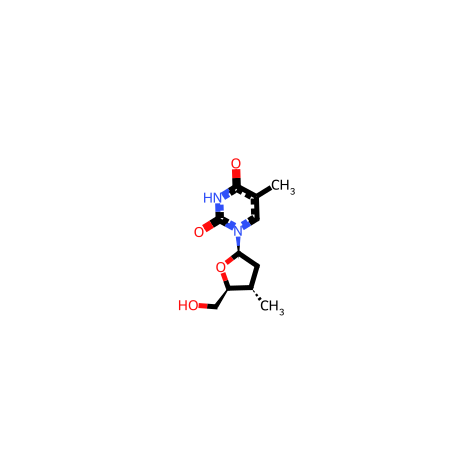 Cc1cn([C@H]2C[C@H](C)[C@@H](CO)O2)c(=O)[nH]c1=O